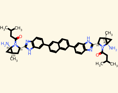 CC(C)CC(=O)N1[C@H](c2nc3ccc(-c4ccc5cc(-c6ccc7nc([C@@H]8C[C@@]9(C)C[C@@]9(N)N8C(=O)CC(C)C)[nH]c7c6)ccc5c4)cc3[nH]2)C[C@@]2(C)C[C@@]12N